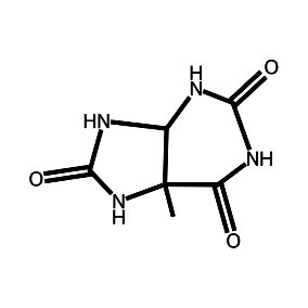 CC12NC(=O)NC1NC(=O)NC2=O